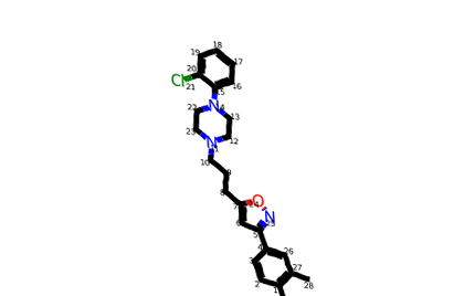 Cc1ccc(-c2cc(CCCN3CCN(c4ccccc4Cl)CC3)on2)cc1C